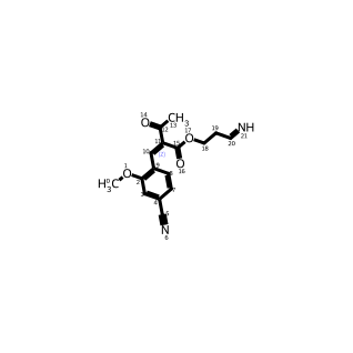 COc1cc(C#N)ccc1/C=C(/C(C)=O)C(=O)OCCC=N